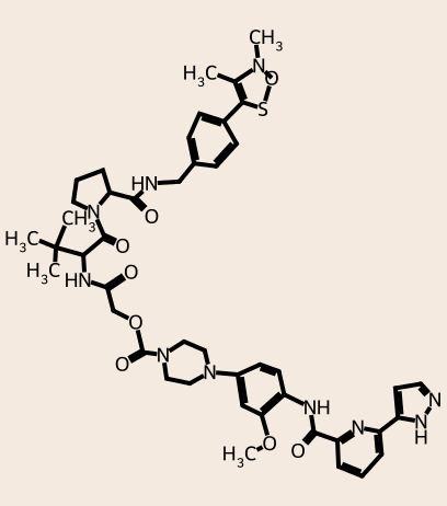 COc1cc(N2CCN(C(=O)OCC(=O)NC(C(=O)N3CCCC3C(=O)NCc3ccc(C4=C(C)N(C)OS4)cc3)C(C)(C)C)CC2)ccc1NC(=O)c1cccc(-c2ccn[nH]2)n1